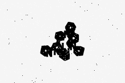 c1ccc(-n2ccc3c2ccc2c4ccccc4n(-c4cccc(-c5cc(-c6ccccn6)nc(-c6ccccn6)n5)c4)c23)cc1